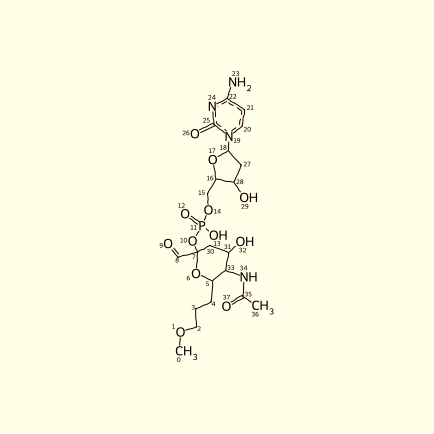 COCCCC1OC(C=O)(OP(=O)(O)OCC2OC(n3ccc(N)nc3=O)CC2O)CC(O)C1NC(C)=O